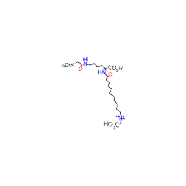 CCCCCCCCCCCC(=O)NCCCC[C@H](NC(=O)CCCCCCCCCC[N+](C)(C)CC(=O)O)C(=O)O